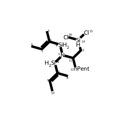 CC=C(C)[SiH2]N([SiH2]C(C)=CC)C(CCCCC)C[SiH](Cl)Cl